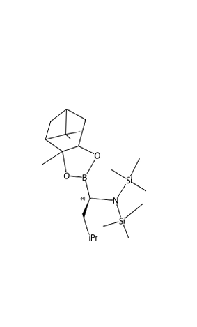 CC(C)C[C@@H](B1OC2CC3CC(C3(C)C)C2(C)O1)N([Si](C)(C)C)[Si](C)(C)C